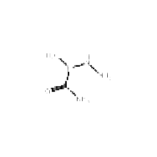 CN(NN)C(N)=O